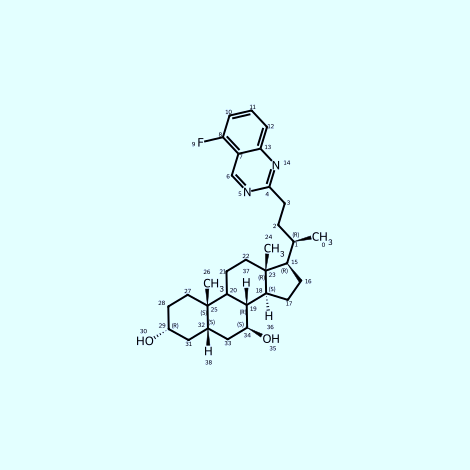 C[C@H](CCc1ncc2c(F)cccc2n1)[C@H]1CC[C@H]2[C@H]3C(CC[C@]12C)[C@@]1(C)CC[C@@H](O)C[C@H]1C[C@@H]3O